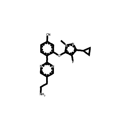 Cn1nc(C2CC2)c(F)c1Oc1cc(C#N)ccc1-c1ncc(CCN)cn1